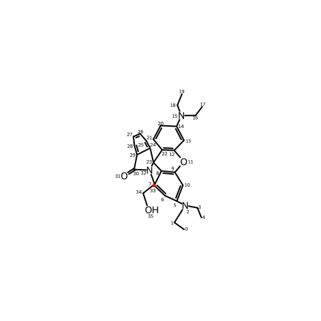 CCN(CC)c1ccc2c(c1)Oc1cc(N(CC)CC)ccc1C21c2ccccc2C(=O)N1CCO